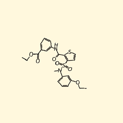 CCOC(=O)c1cccc(NC(=O)c2sccc2S(=O)(=O)N(C)c2cccc(OCC)c2)c1